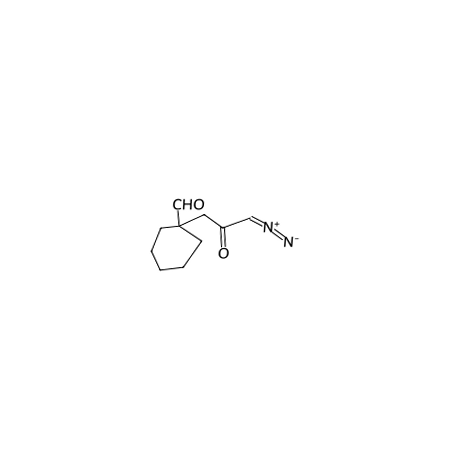 [N-]=[N+]=CC(=O)CC1(C=O)CCCCC1